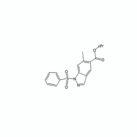 CCCOC(=O)c1cc2cnn(S(=O)(=O)c3ccccc3)c2cc1C